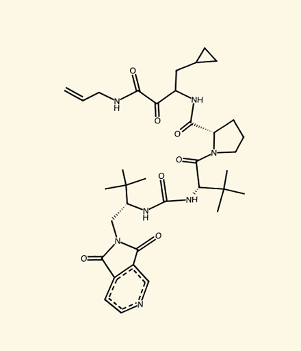 C=CCNC(=O)C(=O)C(CC1CC1)NC(=O)[C@@H]1CCCN1C(=O)[C@@H](NC(=O)N[C@H](CN1C(=O)c2ccncc2C1=O)C(C)(C)C)C(C)(C)C